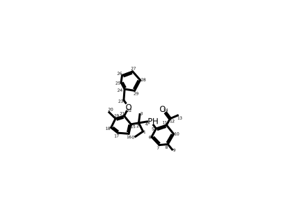 CCC(C)(Pc1ccc(C)cc1C(C)=O)c1cccc(C)c1OCc1ccccc1